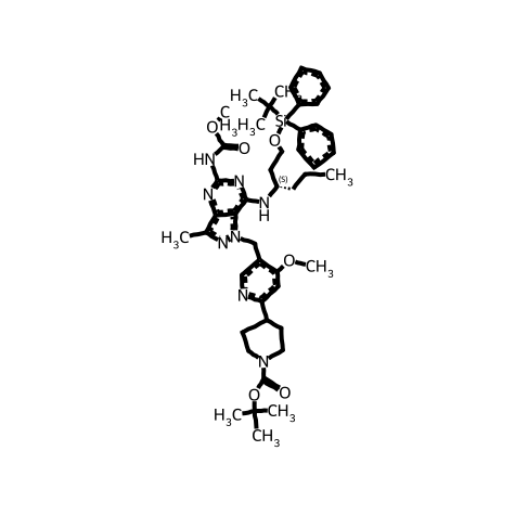 CCC[C@@H](CCO[Si](c1ccccc1)(c1ccccc1)C(C)(C)C)Nc1nc(NC(=O)OC)nc2c(C)nn(Cc3cnc(C4CCN(C(=O)OC(C)(C)C)CC4)cc3OC)c12